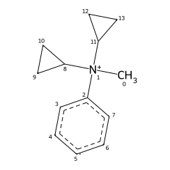 C[N+](c1cc[c]cc1)(C1CC1)C1CC1